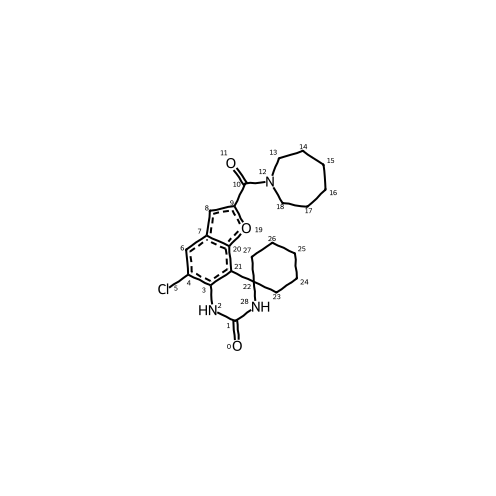 O=C1Nc2c(Cl)cc3cc(C(=O)N4CCCCCC4)oc3c2C2(CCCCC2)N1